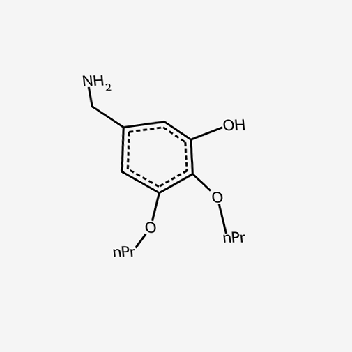 CCCOc1cc(CN)cc(O)c1OCCC